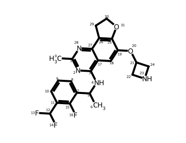 Cc1nc(NC(C)c2cccc(C(F)F)c2F)c2cc(OC3CNC3)c3c(c2n1)CCO3